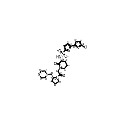 O=C1[C@@H](NS(=O)(=O)c2ccc(-c3ccc(Cl)s3)s2)CCCN1CC(=O)N1CCC[C@H]1CN1CCSCC1